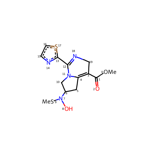 COC(=O)C1=C2CC(N(O)SC)CN2C(c2nccs2)=NC1